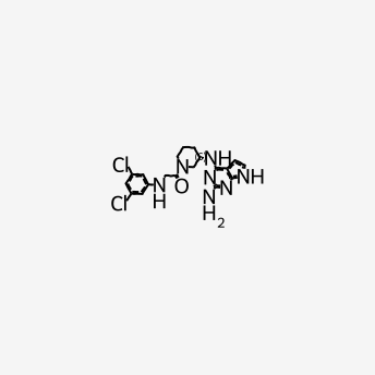 Nc1nc(N[C@H]2CCCN(C(=O)CNc3cc(Cl)cc(Cl)c3)C2)c2cc[nH]c2n1